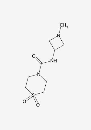 CN1CC(NC(=O)N2CCS(=O)(=O)CC2)C1